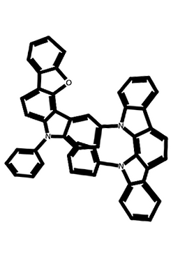 c1ccc(-n2c3ccc(-n4c5ccccc5c5ccc6c7ccccc7n(-c7ccccc7)c6c54)cc3c3c4oc5ccccc5c4ccc32)cc1